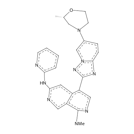 CNc1ncc(-c2nc3ccc(N4CCO[C@@H](C)C4)cn3n2)c2cc(Nc3ccccn3)ncc12